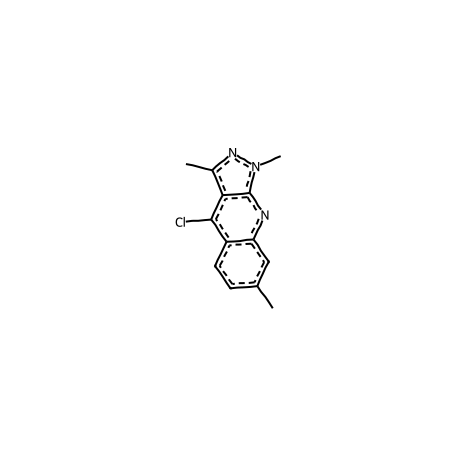 Cc1ccc2c(Cl)c3c(C)nn(C)c3nc2c1